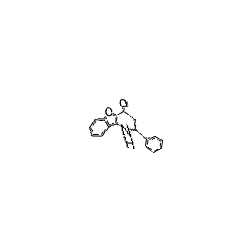 O=C1CC(c2ccccc2)Nc2c1oc1ccccc21